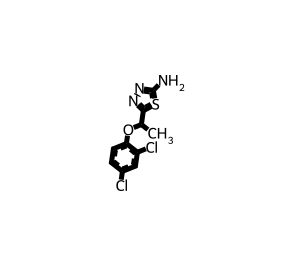 CC(Oc1ccc(Cl)cc1Cl)c1nnc(N)s1